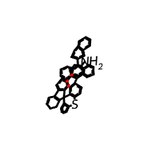 Nc1ccc(-c2ccc3c(c2)C2(C4=C3C=CCC4)c3ccccc3Sc3ccc(-c4c5ccccc5c(-c5ccc6ccccc6c5)c5ccccc45)cc32)cc1